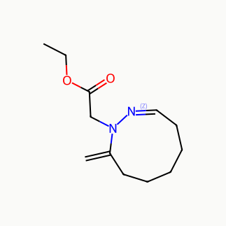 C=C1CCCCC/C=N\N1CC(=O)OCC